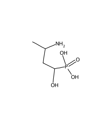 CC(N)CC(O)P(=O)(O)O